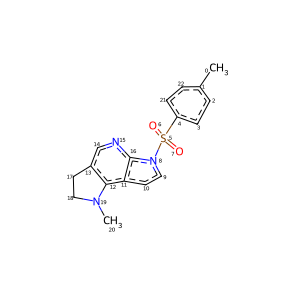 Cc1ccc(S(=O)(=O)n2ccc3c4c(cnc32)CCN4C)cc1